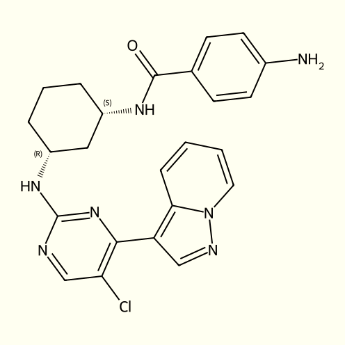 Nc1ccc(C(=O)N[C@H]2CCC[C@@H](Nc3ncc(Cl)c(-c4cnn5ccccc45)n3)C2)cc1